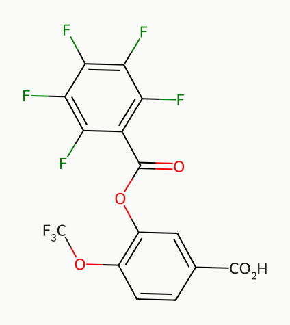 O=C(O)c1ccc(OC(F)(F)F)c(OC(=O)c2c(F)c(F)c(F)c(F)c2F)c1